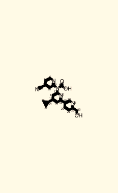 N#Cc1ccnc(N(C(=O)O)c2cc(C3CC3)cc(-c3ccc(CO)nc3)n2)c1